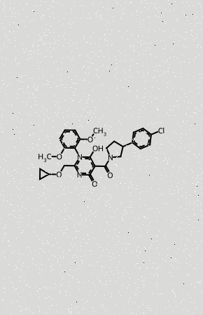 COc1cccc(OC)c1-n1c(COC2CC2)nc(=O)c(C(=O)N2CCC(c3ccc(Cl)cc3)C2)c1O